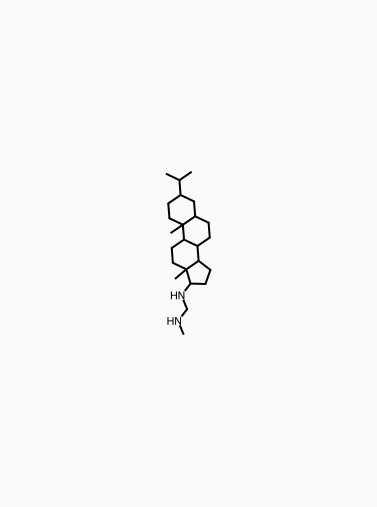 CNCNC1CCC2C3CCC4CC(C(C)C)CCC4(C)C3CCC12C